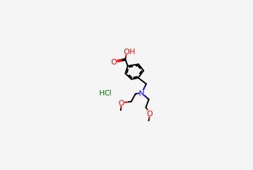 COCCN(CCOC)Cc1ccc(C(=O)O)cc1.Cl